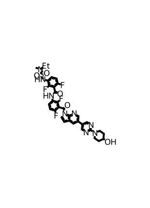 CCN(C)S(=O)(=O)Nc1ccc(F)c(C(=O)Nc2ccc(F)c(C(=O)n3ccc4cc(-c5cnc(N6CCC(O)CC6)nc5)cnc43)c2F)c1F